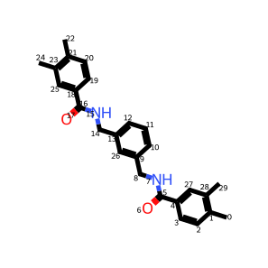 Cc1ccc(C(=O)NCc2cccc(CNC(=O)c3ccc(C)c(C)c3)c2)cc1C